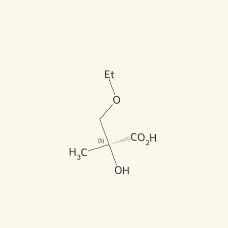 CCOC[C@](C)(O)C(=O)O